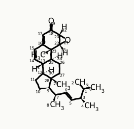 CC(C)[C@@H](C)C=C[C@@H](C)[C@H]1CC[C@H]2[C@@H]3C=CC4=CC(=O)[C@@H]5O[C@@H]5[C@]4(C)[C@H]3CC[C@]12C